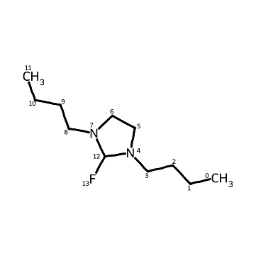 CCCCN1CCN(CCCC)C1F